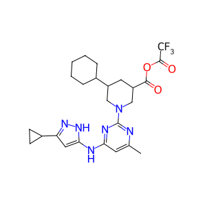 Cc1cc(Nc2cc(C3CC3)n[nH]2)nc(N2CC(C(=O)OC(=O)C(F)(F)F)CC(C3CCCCC3)C2)n1